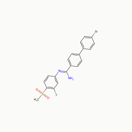 CS(=O)(=O)c1ccc(N=C(N)c2ccc(-c3ccc(Br)cc3)cc2)cc1F